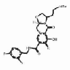 CSCCC1CO[C@@H]2Cn3cc(C(=O)NCc4ccc(F)cc4F)c(=O)c(O)c3C(=O)N12